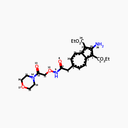 CCOC(=O)c1c2ccc(CC(=O)NOCC(=O)N3CCOCC3)ccc-2c(C(=O)OCC)c1N